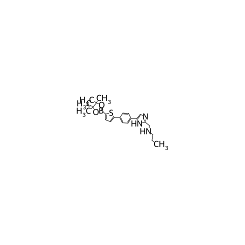 CCCNCc1ncc(-c2ccc(-c3ccc(B4OC(C)(C)C(C)(C)O4)s3)cc2)[nH]1